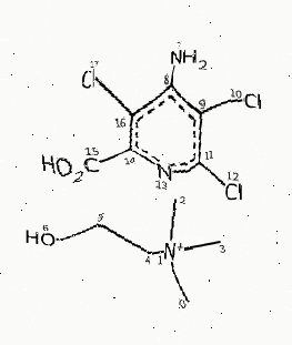 C[N+](C)(C)CCO.Nc1c(Cl)c(Cl)nc(C(=O)O)c1Cl